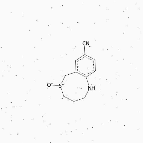 N#Cc1ccc2c(c1)C[S+]([O-])CCCN2